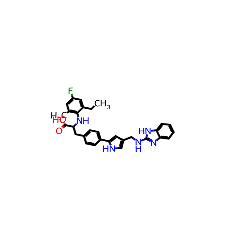 CCc1cc(F)cc(C)c1NC(Cc1ccc(-c2cc(CNc3nc4ccccc4[nH]3)c[nH]2)cc1)C(=O)O